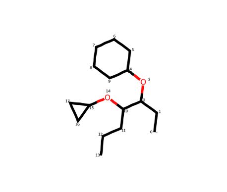 [CH2]CC(OC1CCCCC1)C(CCC)OC1CC1